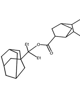 CCC(CC)(OC(=O)C1CC2CC1C(C)C2C)C12CC3CC(CC(C3)C1)C2